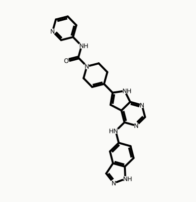 O=C(Nc1cccnc1)N1CC=C(c2cc3c(Nc4ccc5[nH]ncc5c4)ncnc3[nH]2)CC1